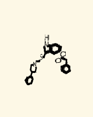 O=C(Cc1ccccc1)Oc1ccc2[nH]cc(CSCCN3CCC(c4ccccc4)CC3)c2c1